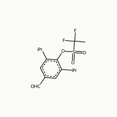 CC(C)c1cc(C=O)cc(C(C)C)c1OS(=O)(=O)C(C)(F)F